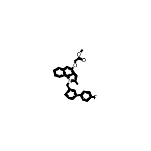 COC(=O)COc1cc2ccccc2c2c1cc(C)n2Cc1cccc(-c2ccc(F)cc2)c1